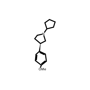 COc1ccc([C@H]2CCN(C3CCCC3)C2)cc1